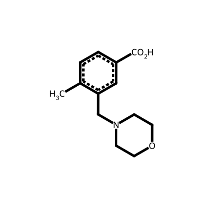 Cc1ccc(C(=O)O)cc1CN1CCOCC1